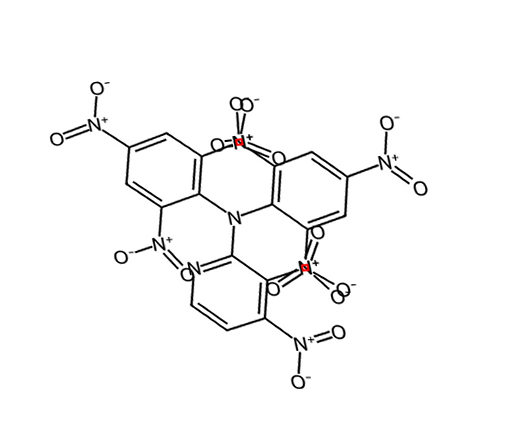 O=[N+]([O-])c1cc([N+](=O)[O-])c(N(c2nccc([N+](=O)[O-])c2[N+](=O)[O-])c2c([N+](=O)[O-])cc([N+](=O)[O-])cc2[N+](=O)[O-])c([N+](=O)[O-])c1